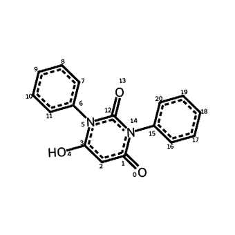 O=c1cc(O)n(-c2ccccc2)c(=O)n1-c1ccccc1